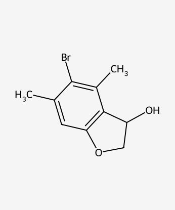 Cc1cc2c(c(C)c1Br)C(O)CO2